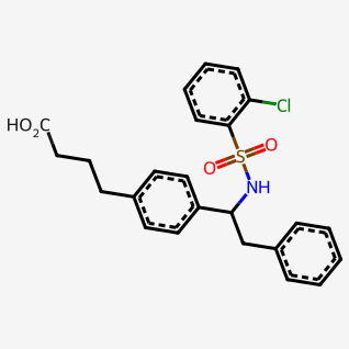 O=C(O)CCCc1ccc(C(Cc2ccccc2)NS(=O)(=O)c2ccccc2Cl)cc1